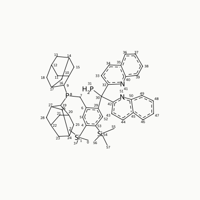 C[Si](C)(C)c1cc(CP(C2C3CC4CC(C3)CC2C4)C2C3CC4CC(C3)CC2C4)c(C(P)(c2ccc3ccccc3n2)c2ccc3ccccc3n2)cc1[Si](C)(C)C